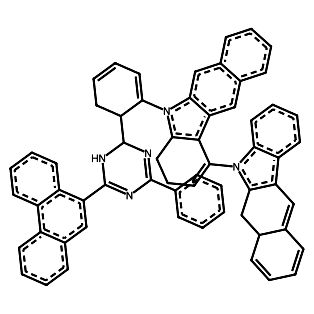 C1=CCC(C2N=C(c3ccccc3)N=C(c3cc4ccccc4c4ccccc34)N2)C(n2c3c(c4cc5ccccc5cc42)C(n2c4c(c5ccccc52)C=C2C=CC=CC2C4)=CCC3)=C1